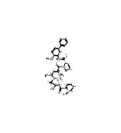 COc1ccc(-c2ccccc2)cc1NC(=O)[C@@H]1CCCN1C(=O)/C(C)=C/[C@H](C(C)C)N(C)C(=O)[C@@H](NC(=O)[C@H]1CCCCN1C(C)C)C(C)(C)C